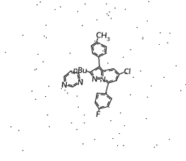 CCCCc1nn2c(-c3ccc(F)cc3)cc(Cl)cc2c1-c1ccc(C)cc1.c1cncnc1